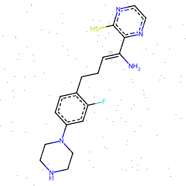 N/C(=C\CCc1ccc(N2CCNCC2)cc1F)c1nccnc1S